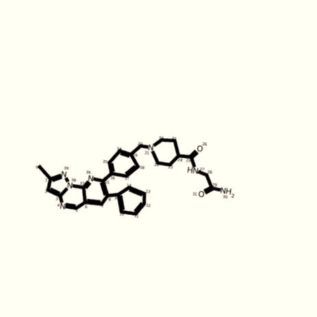 Cc1cc2ncc3cc(-c4ccccc4)c(-c4ccc(CN5CCC(C(=O)NCC(N)=O)CC5)cc4)nc3n2n1